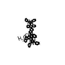 CC1(C)c2ccccc2-c2cc3c(cc21)N(c1ccc2cc(N4c5ccccc5C(c5nc(-c6ccccc6)nc(-c6ccccc6)n5)c5ccccc54)ccc2c1)c1ccccc1N3c1nc(-c2ccccc2)nc(-c2ccccc2)n1